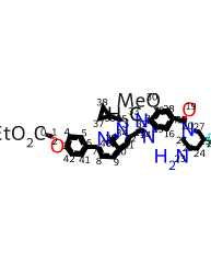 CCOC(=O)COc1ccc(-c2ccc3cc(-c4nc5cc(C(=O)N6C[C@H](N)C[C@@H](F)C6)cc(OC)c5n4C)n(CC4CC4)c3n2)cc1